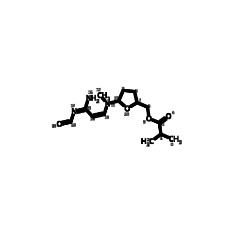 CC(C)C(=O)OCC1CCC(N(C)/C=C\C(N)=N/C=O)O1